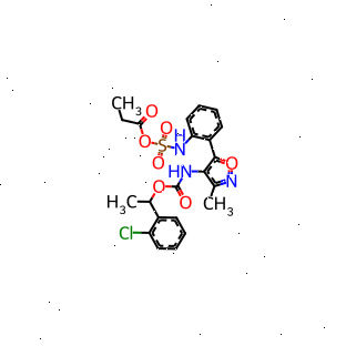 CCC(=O)OS(=O)(=O)Nc1ccccc1-c1onc(C)c1NC(=O)OC(C)c1ccccc1Cl